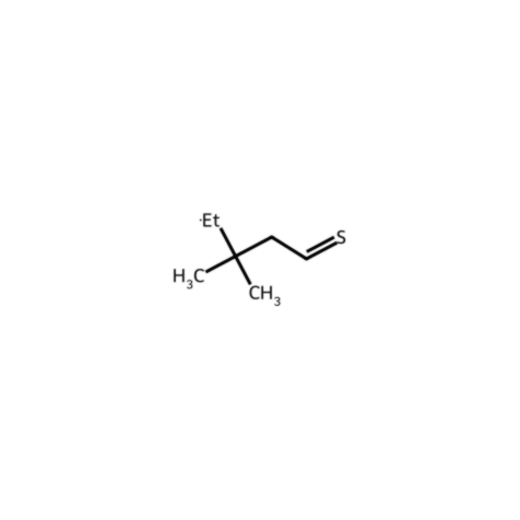 C[CH]C(C)(C)CC=S